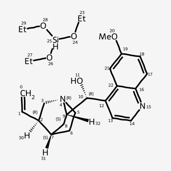 C=C[C@H]1C[N@]2CC[C@H]1C[C@H]2[C@H](O)c1ccnc2ccc(OC)cc12.CCO[SiH](OCC)OCC